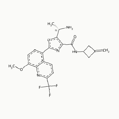 C=C1CC(NC(=O)c2nc(-c3ccc(OC)c4nc(C(F)(F)F)ccc34)oc2[C@H](C)N)C1